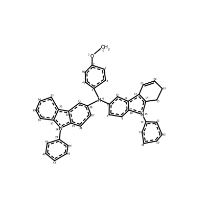 COc1ccc(N(c2ccc3c(c2)c2c(n3-c3ccccc3)CCC=C2)c2ccc3c(c2)c2ccccc2n3-c2ccccc2)cc1